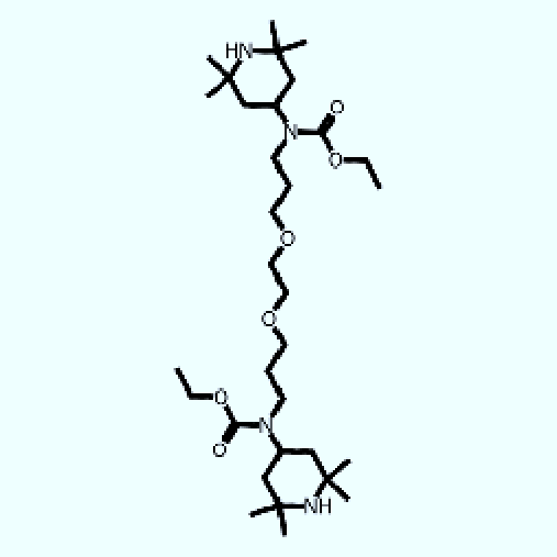 CCOC(=O)N(CCCOCCOCCCN(C(=O)OCC)C1CC(C)(C)NC(C)(C)C1)C1CC(C)(C)NC(C)(C)C1